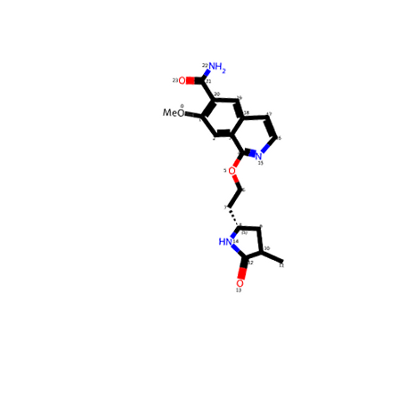 COc1cc2c(OCC[C@@H]3CC(C)C(=O)N3)nccc2cc1C(N)=O